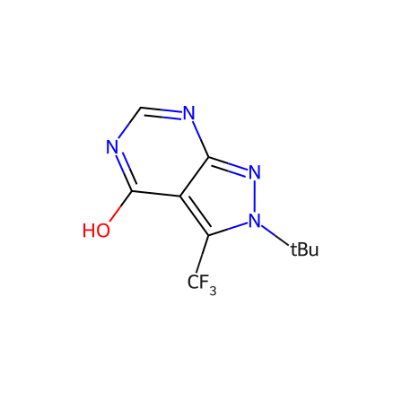 CC(C)(C)n1nc2ncnc(O)c2c1C(F)(F)F